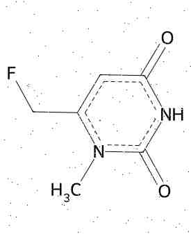 Cn1c(CF)cc(=O)[nH]c1=O